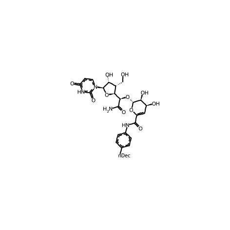 CCCCCCCCCCc1ccc(NC(=O)C2=C[C@H](O)[C@H](O)[C@@H](O[C@@H](C(N)=O)[C@H]3O[C@@H](n4ccc(=O)[nH]c4=O)[C@H](O)[C@@H]3CO)O2)cc1